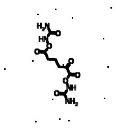 NC(=O)NOC(=O)CCCC(=O)C(=O)ONC(N)=O